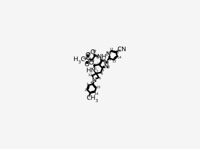 Cc1ccc(N2CC3(Cc4nn(-c5ccc(C#N)cn5)c(NC(=O)CS(C)(=O)=O)c4C(=O)N3)C2)cc1